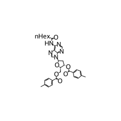 CCCCCCC(=O)Nc1ncnc2c1ncn2[C@H]1C[C@H](OC(=O)c2ccc(C)cc2)[C@@H](COC(=O)c2ccc(C)cc2)O1